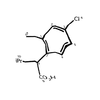 Cc1cc(Cl)ccc1C(C(=O)O)C(C)C